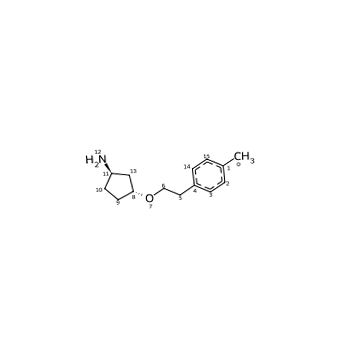 Cc1ccc(CCO[C@@H]2CC[C@@H](N)C2)cc1